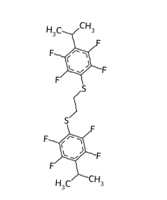 CC(C)c1c(F)c(F)c(SCCSc2c(F)c(F)c(C(C)C)c(F)c2F)c(F)c1F